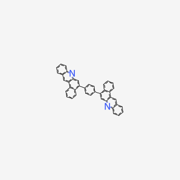 c1ccc2nc3cc(-c4ccc(-c5cc6nc7ccccc7cc6c6ccccc56)cc4)c4ccccc4c3cc2c1